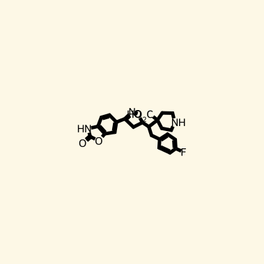 O=C(O)C1(C(Cc2ccc(F)cc2)C2CC(c3ccc4[nH]c(=O)oc4c3)=NO2)CCNCC1